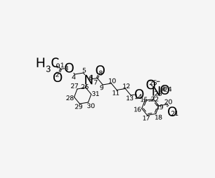 CC(=O)OCCN(C(=O)CCCCCOc1cccc(C=O)c1[N+](=O)[O-])C1CCCCC1